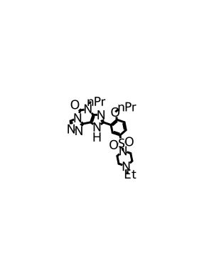 CCCOc1ccc(S(=O)(=O)N2CCN(CC)CC2)cc1-c1nc2c([nH]1)c1nncn1c(=O)n2CCC